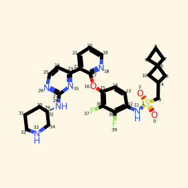 O=S(=O)(CC1CC2(CCC2)C1)Nc1ccc(Oc2ncccc2-c2ccnc(N[C@H]3CCCNC3)n2)c(F)c1F